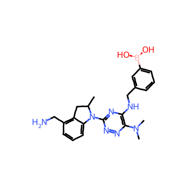 CC1Cc2c(CN)cccc2N1c1nnc(N(C)C)c(NCc2cccc(B(O)O)c2)n1